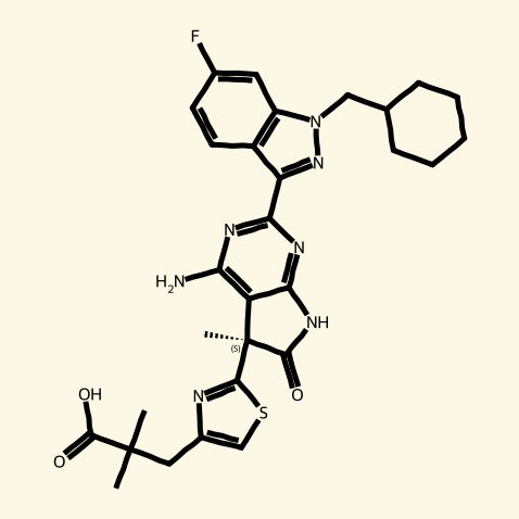 CC(C)(Cc1csc([C@]2(C)C(=O)Nc3nc(-c4nn(CC5CCCCC5)c5cc(F)ccc45)nc(N)c32)n1)C(=O)O